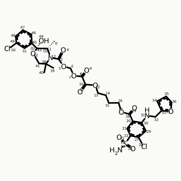 C[C@@H]1N(C(=O)OCOC(=O)C(=O)OCCCCOC(=O)c2cc(S(N)(=O)=O)c(Cl)cc2NCc2ccco2)C(C)(C)CO[C@@]1(O)c1cccc(Cl)c1